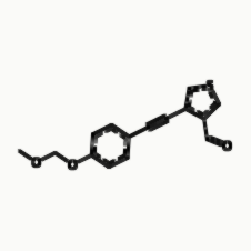 COCOc1ccc(C#Cc2cscc2C=O)cc1